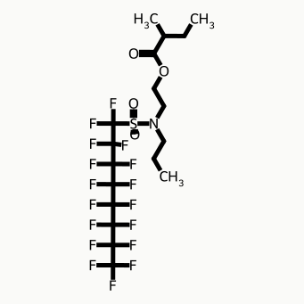 CCCN(CCOC(=O)C(C)CC)S(=O)(=O)C(F)(F)C(F)(F)C(F)(F)C(F)(F)C(F)(F)C(F)(F)C(F)(F)C(F)(F)F